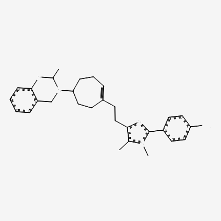 CCC1Nc2ccccc2CN1C1CCC=C(CCc2nc(-c3ccc(C(F)(F)F)cc3)n(C)c2C)CC1